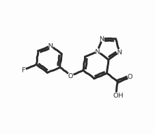 O=C(O)c1cc(Oc2cncc(F)c2)cn2ncnc12